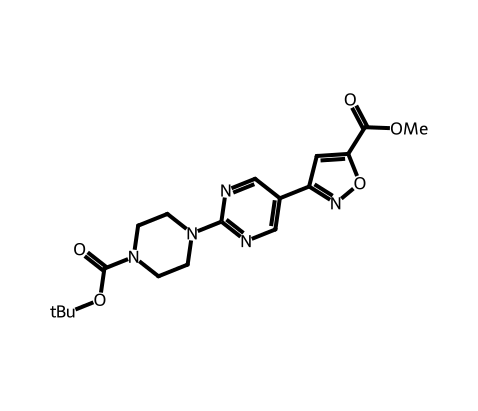 COC(=O)c1cc(-c2cnc(N3CCN(C(=O)OC(C)(C)C)CC3)nc2)no1